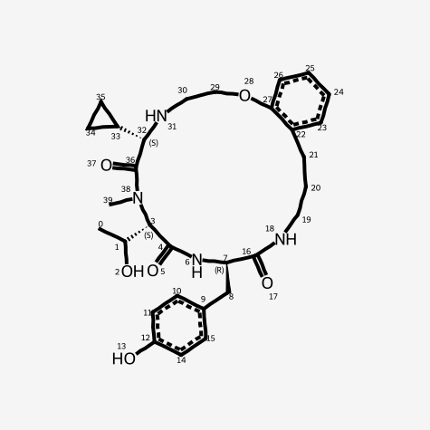 CC(O)[C@H]1C(=O)N[C@H](Cc2ccc(O)cc2)C(=O)NCCCc2ccccc2OCCN[C@@H](C2CC2)C(=O)N1C